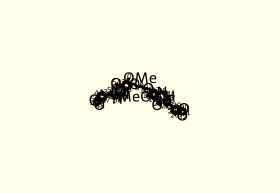 COc1cc2c(cc1OCCCOc1cc3c(cc1OC)C(=O)N1C=C(c4ccc5c(c4)OCO5)C[C@H]1C=N3)N=C[C@@H]1CC(c3ccc4c(c3)OCO4)=CN1C2=O